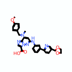 COc1ccc(CN(C)c2cc(Nc3cccc(-c4ccc(C5OCCO5)cn4)c3)nn3c(C(=O)O)cnc23)cc1